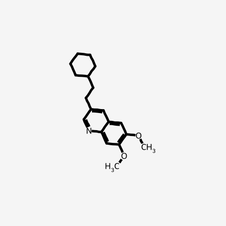 COc1cc2cc(CCC3CCCCC3)cnc2cc1OC